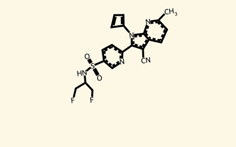 Cc1ccc2c(C#N)c(-c3ccc(S(=O)(=O)NC(CF)CF)cn3)n(C3=CC=C3)c2n1